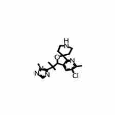 Cc1nc2c(cc1Cl)C(C(C)(C)c1ncnn1C)OC21CCNCC1